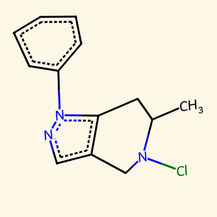 CC1Cc2c(cnn2-c2ccccc2)CN1Cl